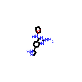 Nc1nc(Nc2cc3ccc2o3)c2ccc(-c3ccn[nH]3)cc2n1